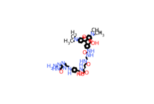 CCN(CC)c1ccc2c(-c3ccc(NC(=O)NCCNC(=O)CC[C@H](NC(=O)c4ccc(NCc5cnc6nc(N)[nH]c(=O)c6n5)cc4)C(=O)O)cc3C(=O)O)c3ccc(=[N+](CC)CC)cc-3oc2c1